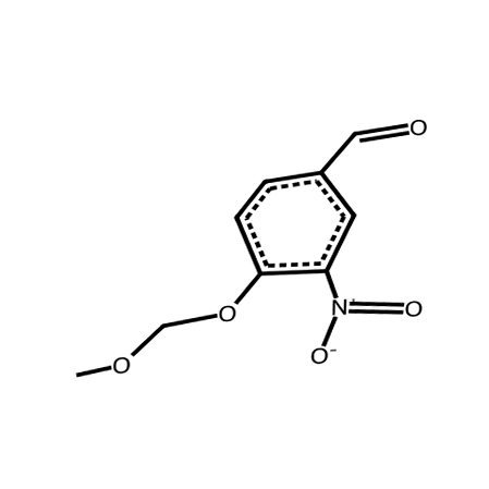 COCOc1ccc(C=O)cc1[N+](=O)[O-]